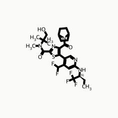 CC[C@H](Nc1cc(C(F)F)c(-c2sc(C(=O)N(C)C(C)(C)CO)nc2C(=O)N2C3CCC2CC3)cn1)C(F)(F)F